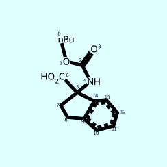 CCCCOC(=O)NC1(C(=O)O)CCc2ccccc21